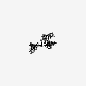 c1ccc(-c2ccc(N(c3ccc(-c4ccc5c(c4)c4ccccc4n5-c4ccccc4)cc3)c3ccc4c(c3)C(c3ccc(-c5ccccc5)cc3)(c3ccc(-c5cccc6c5oc5ccccc56)cc3)c3ccccc3-4)cc2)cc1